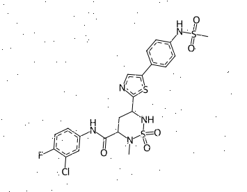 CN1C(C(=O)Nc2ccc(F)c(Cl)c2)CC(c2ncc(-c3ccc(NS(C)(=O)=O)cc3)s2)NS1(=O)=O